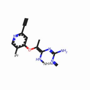 C#Cc1cc(O/C(C)=C(/N=C(/N)N=C)NNC(C)=O)c(C(C)C)cn1